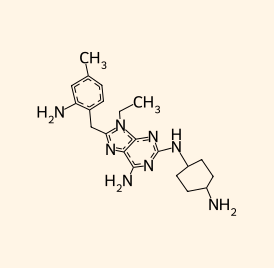 CCn1c(Cc2ccc(C)cc2N)nc2c(N)nc(NC3CCC(N)CC3)nc21